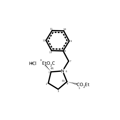 CCOC(=O)[C@H]1CC[C@@H](C(=O)OCC)N1Cc1ccccc1.Cl